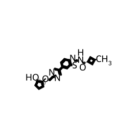 C[C@H]1C[C@H](C(=O)Nc2nc3ccc(-c4cnc(CO[C@H]5CCC[C@@H]5O)nc4)cc3s2)C1